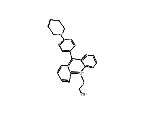 OCC[n+]1c2ccccc2c(-c2ccc(N3CCCCC3)cc2)c2ccccc21